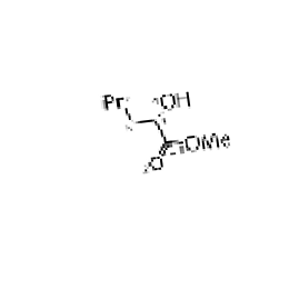 COC(=O)[C@@H](O)CC(C)C